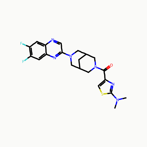 CN(C)c1nc(C(=O)N2CC3CC(C2)CN(c2cnc4cc(F)c(F)cc4n2)C3)cs1